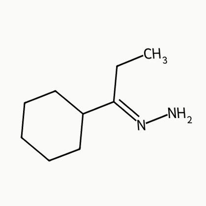 CC/C(=N\N)C1CCCCC1